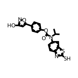 CC(C)N(C(=O)Oc1ccc(-c2cc(O)no2)cc1)c1ccc2nc(S)sc2c1